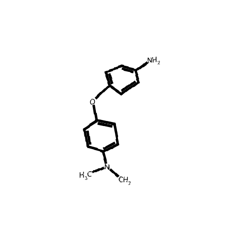 CN(C)c1ccc(Oc2ccc(N)cc2)cc1